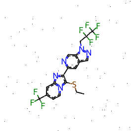 CCSc1c(-c2cc3cnn(CC(F)(F)C(F)(F)F)c3cn2)nc2cc(C(F)(F)F)ccn12